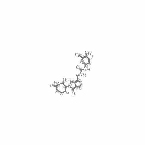 Cc1ccc(NC(=O)NCc2scc3c2CN(C2CCCC(=O)NC2=O)C3=O)nc1Cl